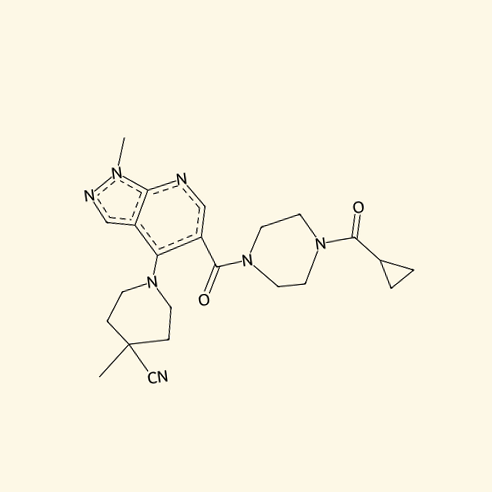 Cn1ncc2c(N3CCC(C)(C#N)CC3)c(C(=O)N3CCN(C(=O)C4CC4)CC3)cnc21